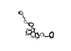 Nc1ncnc2c1c(-c1cccc(OCc3ccccc3)c1)cn2-c1cccc(OCCn2ccnc2)c1